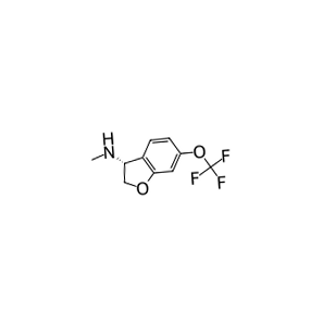 CN[C@H]1COc2cc(OC(F)(F)F)ccc21